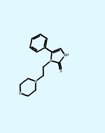 S=c1[nH]cc(-c2ccccc2)n1CCN1CCOCC1